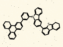 C1=Cc2c(sc3c(-c4ccc5c(c4)c4ccccc4n5-c4cccc(-c5ccc6c(c5)c5c(c7ccccc76)C=CCC5)c4)cccc23)CC1